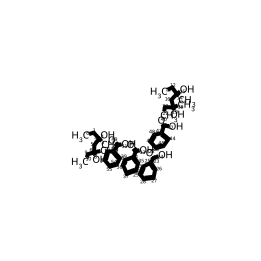 CCC(C)(O)CC(C)(O)CC.CCC(C)(O)CC(C)(O)CC.O=C(O)c1ccccc1.O=C(O)c1ccccc1.O=C(O)c1ccccc1.O=C(O)c1ccccc1